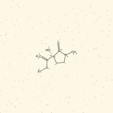 C=C(OCC)[C@]1(O)CCN(C)C1=O